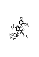 CCNC(=O)c1c(N[C@@H](CC)CO)cc(C)nc1Oc1c(C)cc(Cl)cc1C